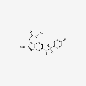 CCCCc1nc2cc(N(C)S(=O)(=O)c3ccc(F)cc3)ccc2n1CC(=O)OC(C)(C)C